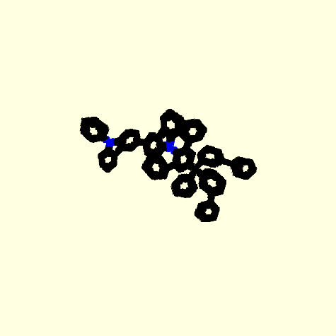 c1ccc(-c2cccc([Si](c3ccccc3)(c3cccc(-c4ccccc4)c3)c3cc(-c4ccccc4)c(-n4c5ccccc5c5cc(-c6ccc7c(c6)c6ccccc6n7-c6ccccc6)ccc54)c(-c4ccccc4)c3)c2)cc1